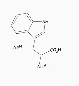 CC(=O)NC(Cc1c[nH]c2ccccc12)C(=O)O.[NaH]